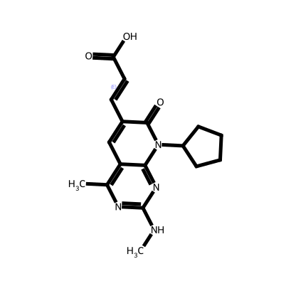 CNc1nc(C)c2cc(/C=C/C(=O)O)c(=O)n(C3CCCC3)c2n1